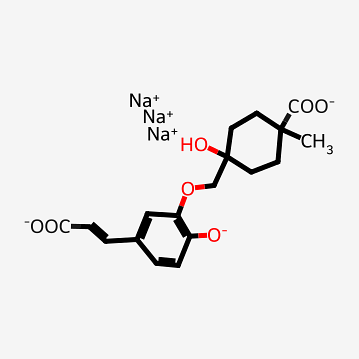 CC1(C(=O)[O-])CCC(O)(COc2cc(C=CC(=O)[O-])ccc2[O-])CC1.[Na+].[Na+].[Na+]